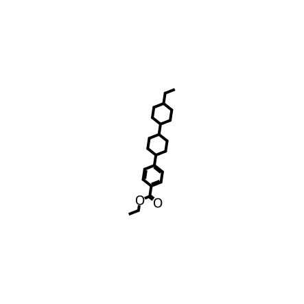 CCOC(=O)c1ccc(C2CCC(C3CCC(CC)CC3)CC2)cc1